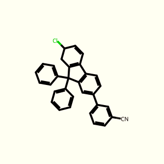 N#Cc1cccc(-c2ccc3c(c2)C(c2ccccc2)(c2ccccc2)C2=C3C=CC(Cl)C2)c1